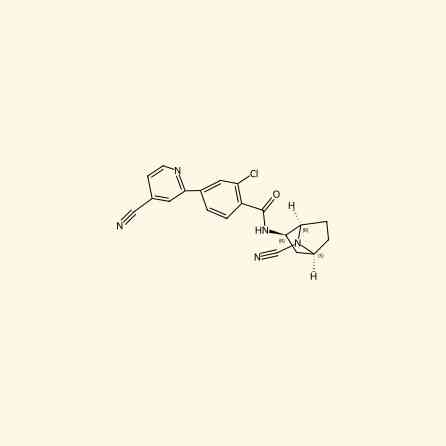 N#Cc1ccnc(-c2ccc(C(=O)N[C@@H]3C[C@@H]4CC[C@H]3N4C#N)c(Cl)c2)c1